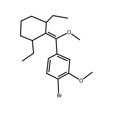 CCC1CCCC(CC)C1=C(OC)c1ccc(Br)c(OC)c1